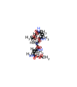 C=CC(=O)OCCOC(=O)NC(C)(C)c1cccc(C(C)(C)NC(=O)OCCN(CCCC)CCOC(=O)NC(C)(C)c2cccc(C(C)(C)NC(=O)OCCOC(=O)C(=C)C)c2)c1